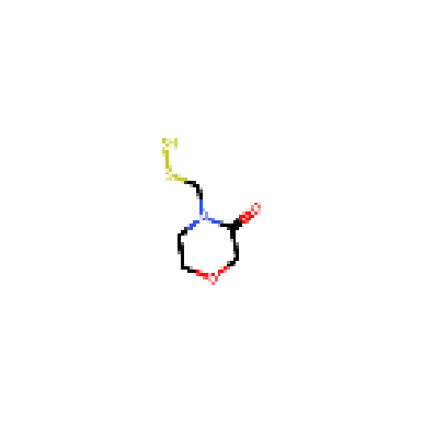 O=C1COCCN1CSS